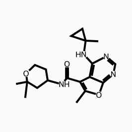 Cc1oc2ncnc(NC3(C)CC3)c2c1C(=O)NC1CCOC(C)(C)C1